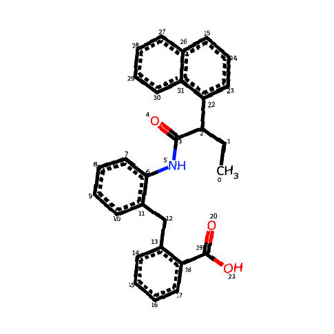 CCC(C(=O)Nc1ccccc1Cc1ccccc1C(=O)O)c1cccc2ccccc12